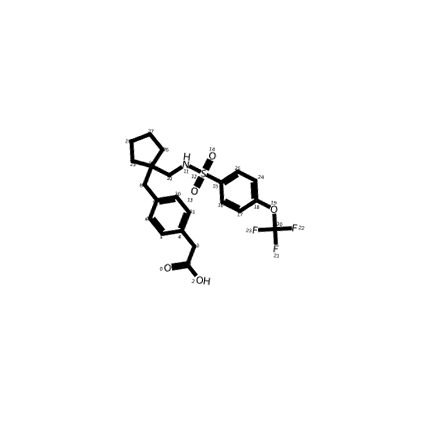 O=C(O)Cc1ccc(CC2(CNS(=O)(=O)c3ccc(OC(F)(F)F)cc3)CCCC2)cc1